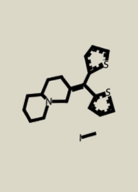 CI.c1csc(C(=C2CCC3CCCCN3C2)c2cccs2)c1